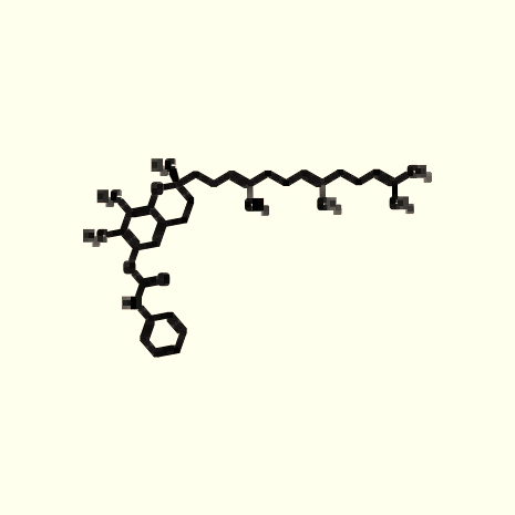 CC(C)=CCC/C(C)=C/CC/C(C)=C/CC[C@]1(C)CCc2cc(OC(=O)Nc3ccccc3)c(C)c(C)c2O1